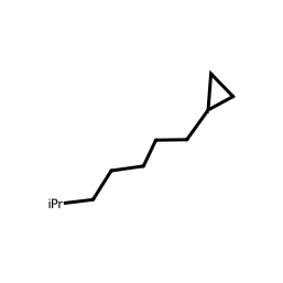 CC(C)CCCCC[C]1CC1